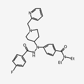 CCN(CC)C(=O)c1ccc(N(NC(=O)c2ccc(F)cc2)C2CCN(Cc3ccccn3)CC2)cc1